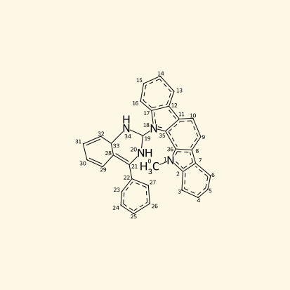 Cn1c2ccccc2c2ccc3c4ccccc4n(C4NC(c5ccccc5)=C5C=CC=CC5N4)c3c21